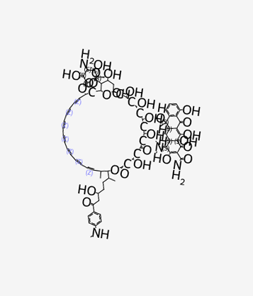 CN(C)[C@@H]1C(O)=C(C(N)=O)C(=O)[C@@]2(O)C(O)=C3C(=O)c4c(O)cccc4[C@@](C)(O)[C@H]3C[C@@H]12.CNc1ccc(C(=O)CC(O)CCC(C)C2OC(=O)CC(O)CC(=O)CC(O)CC(O)CC(O)CC(O)CC3(O)CC(O)C(C(=O)OC)C(CC(O[C@@H]4O[C@H](C)[C@@H](O)[C@H](N)[C@@H]4O)\C=C/C=C\C=C/C=C\C=C/C=C\C=C/C2C)O3)cc1